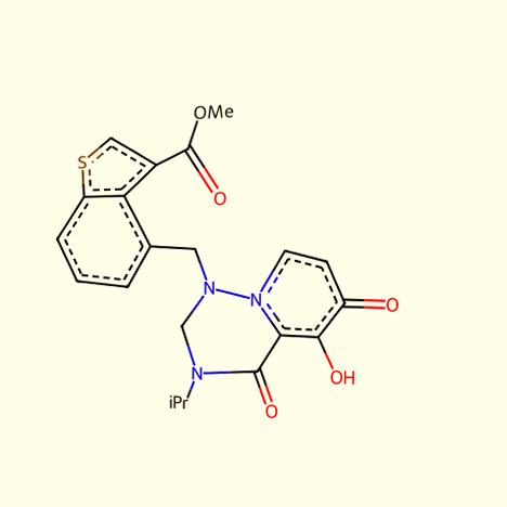 COC(=O)c1csc2cccc(CN3CN(C(C)C)C(=O)c4c(O)c(=O)ccn43)c12